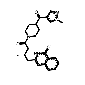 C[C@H](CC(=O)N1CCC(C(=O)c2cnn(C)c2)CC1)Cc1cc2ccccc2c(=O)[nH]1